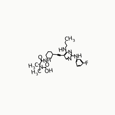 CCCNc1nc(Nc2cccc(F)c2)ncc1C#CC1CCCC(NC(=O)C(C)N(C)C(=O)O)C1